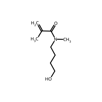 C=C(C)C(=O)N(C)CCCCO